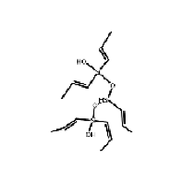 CC=C[SiH](O[Si](O)(C=CC)C=CC)O[Si](O)(C=CC)C=CC